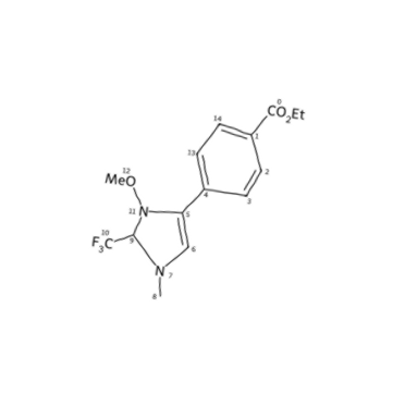 CCOC(=O)c1ccc(C2=CN(C)C(C(F)(F)F)N2OC)cc1